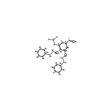 CC(C)Cc1cc(C=O)cc(OCCc2ccccc2)c1OCCc1ccccc1